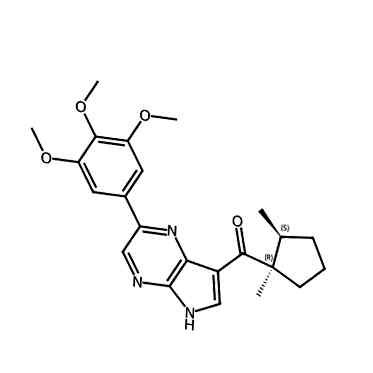 COc1cc(-c2cnc3[nH]cc(C(=O)[C@]4(C)CCC[C@@H]4C)c3n2)cc(OC)c1OC